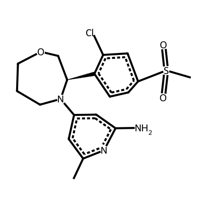 Cc1cc(N2CCCOC[C@H]2c2ccc(S(C)(=O)=O)cc2Cl)cc(N)n1